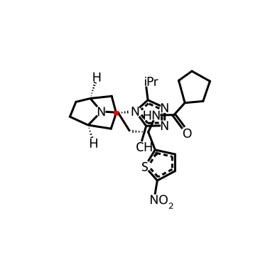 Cc1nnc(C(C)C)n1[C@@H]1C[C@H]2CC[C@@H](C1)N2CC[C@H](NC(=O)C1CCCC1)c1ccc([N+](=O)[O-])s1